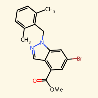 COC(=O)c1cc(Br)cc2c1cnn2Cc1c(C)cccc1C